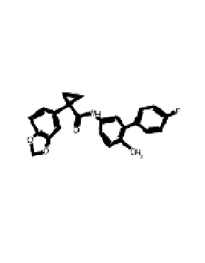 Cc1ccc(NC(=O)C2(c3ccc4c(c3)OCO4)CC2)cc1-c1ccc(F)cc1